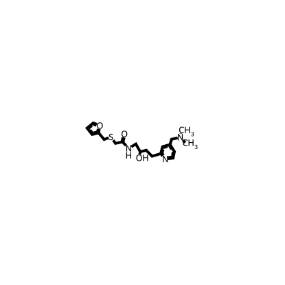 CN(C)Cc1ccnc(CCC(O)CNC(=O)CSCc2ccco2)c1